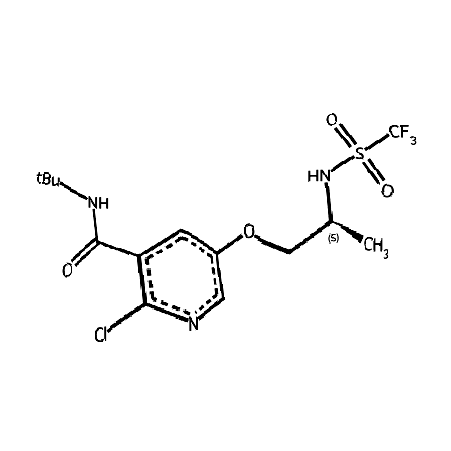 C[C@@H](COc1cnc(Cl)c(C(=O)NC(C)(C)C)c1)NS(=O)(=O)C(F)(F)F